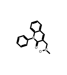 C[S+]([O-])Cc1cc2ccccc2n(-c2ccccc2)c1=O